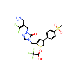 CS(=O)(=O)c1ccc(-c2csc(Cn3cnn(CC(CN)=C(F)F)c3=O)c2)cc1.O=C(O)C(F)(F)F